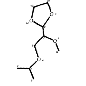 COC(CO[C](C)C)C1OCCO1